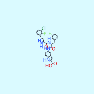 O=C(O)c1cc2cc(NC(=O)C(Cc3cccc(F)c3)NC(=O)c3cc(-c4cccc(Cl)c4F)n[nH]3)ccc2[nH]1